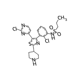 CCCS(=O)(=O)Nc1cccc(-c2nc(C3CCNCC3)sc2-c2ccnc(Cl)n2)c1Cl